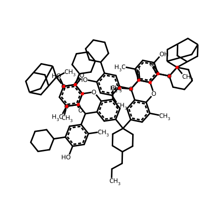 CCCC1CCC(c2cc(C)c(OC(C(=O)OC)C(=O)OC3(C)C4CC5CC(C4)CC3C5)c(C(c3cc(C4CCCCC4)c(O)cc3C)c3cc(C4CCCCC4)c(O)cc3C)c2)(c2cc(C)c(OC(C(=O)OC)C(=O)OC3(C)C4CC5CC(C4)CC3C5)c(C(c3cc(C4CCCCC4)c(O)cc3C)c3cc(C4CCCCC4)c(O)cc3C)c2)CC1